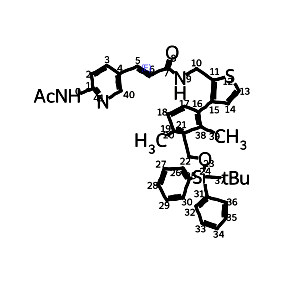 CC(=O)Nc1ccc(/C=C/C(=O)NCc2sccc2-c2ccc(C)c(CO[Si](c3ccccc3)(c3ccccc3)C(C)(C)C)c2C)cn1